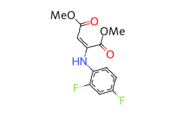 COC(=O)/C=C(/Nc1ccc(F)cc1F)C(=O)OC